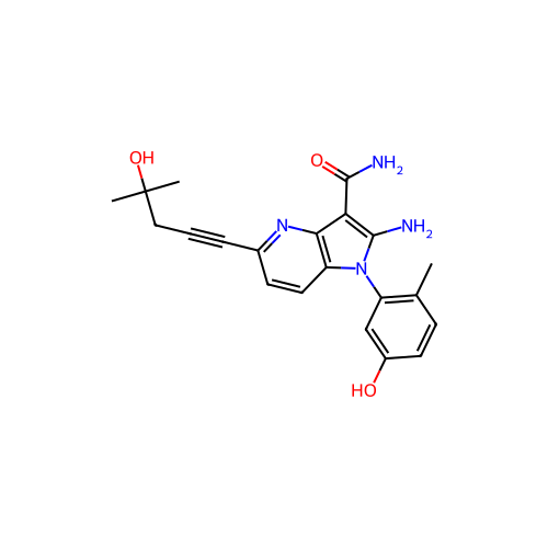 Cc1ccc(O)cc1-n1c(N)c(C(N)=O)c2nc(C#CCC(C)(C)O)ccc21